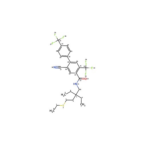 CCSCCC(CC)(CC)CNC(=O)c1cc(C#N)c(-c2ccc(C(F)(F)F)cc2)cc1C(F)(F)F